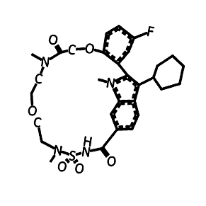 CN1CCOCCN(C)S(=O)(=O)NC(=O)c2ccc3c(C4CCCCC4)c(n(C)c3c2)-c2cc(F)ccc2OCC1=O